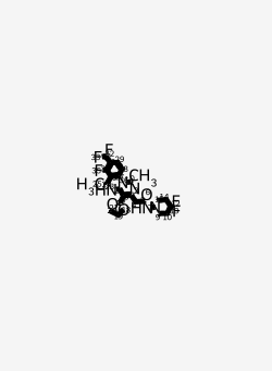 Cc1nc(CC(=O)NN2CCC(F)(F)CC2)c(C2OCCO2)c(N[C@H](C)c2cccc(C(F)F)c2F)n1